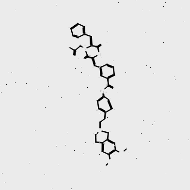 COc1cc2c(cc1OC)CN(CCc1ccc(NC(=O)c3cccc(C=c4[nH]c(=O)c(=Cc5ccccc5)n(CC(=O)O)c4=O)c3)cc1)CC2